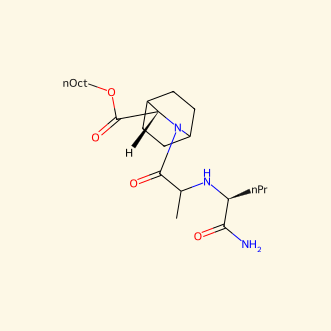 CCCCCCCCOC(=O)[C@@H]1C2CCC(CC2)N1C(=O)C(C)N[C@@H](CCC)C(N)=O